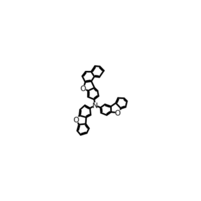 c1ccc2c(c1)ccc1oc3cc(N(c4ccc5oc6ccccc6c5c4)c4ccc5oc6ccccc6c5c4)ccc3c12